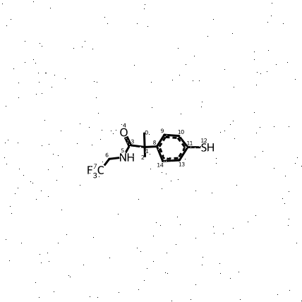 CC(C)(C(=O)NCC(F)(F)F)c1ccc(S)cc1